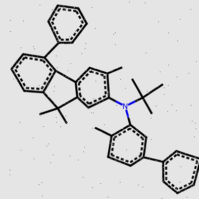 Cc1ccc(-c2ccccc2)cc1N(c1cc2c(cc1C)-c1c(-c3ccccc3)cccc1C2(C)C)C(C)(C)C